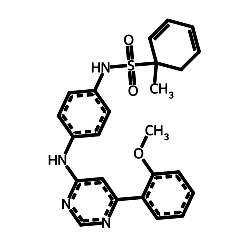 COc1ccccc1-c1cc(Nc2ccc(NS(=O)(=O)C3(C)C=CC=CC3)cc2)ncn1